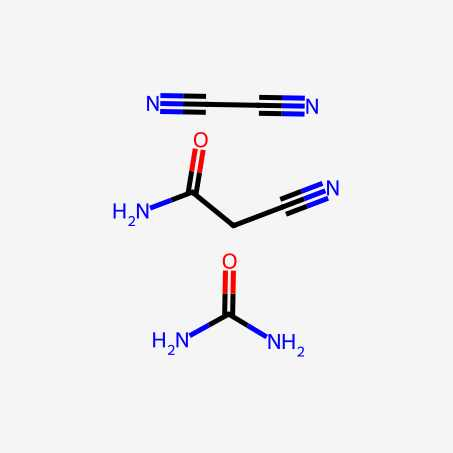 N#CC#N.N#CCC(N)=O.NC(N)=O